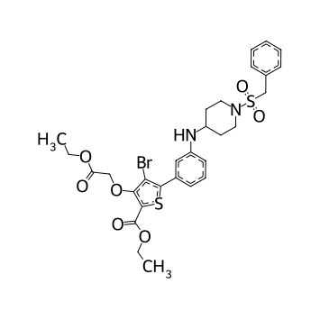 CCOC(=O)COc1c(C(=O)OCC)sc(-c2cccc(NC3CCN(S(=O)(=O)Cc4ccccc4)CC3)c2)c1Br